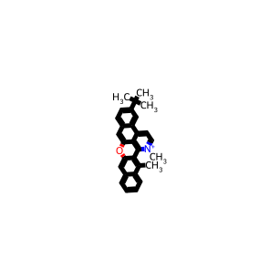 Cc1c2c(cc3ccccc13)Oc1cc3ccc(C(C)(C)C)cc3c3cc[n+](C)c-2c13